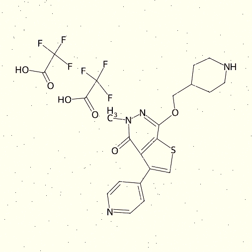 Cn1nc(OCC2CCNCC2)c2scc(-c3ccncc3)c2c1=O.O=C(O)C(F)(F)F.O=C(O)C(F)(F)F